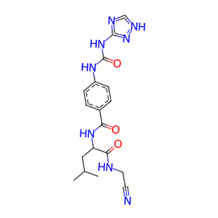 CC(C)CC(NC(=O)c1ccc(NC(=O)Nc2nc[nH]n2)cc1)C(=O)NCC#N